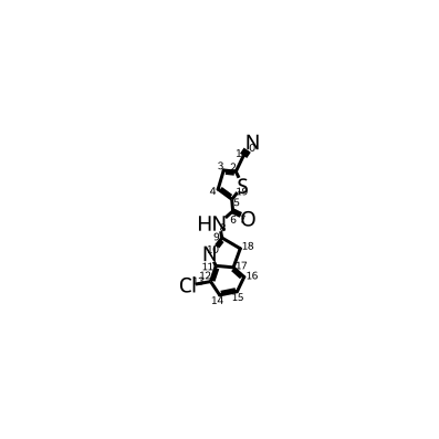 N#Cc1ccc(C(=O)NC2=Nc3c(Cl)cccc3C2)s1